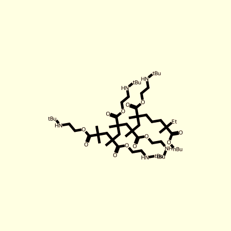 CCCCOC(=O)C(C)(CC)CCCC(C)(CC(C)(CC(C)(CC(C)(CC(C)(C)C(=O)OCCNC(C)(C)C)C(=O)OCCNC(C)(C)C)C(=O)OCCNC(C)(C)C)C(=O)OCCNC(C)(C)C)C(=O)OCCNC(C)(C)C